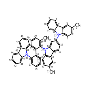 N#Cc1ccc2c(c1)c1ccccc1n2-c1ccc2c3cc(C#N)ccc3n(-c3c(C#N)cccc3-c3ccccc3-n3c4ccccc4c4ccccc43)c2c1